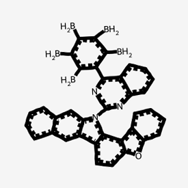 Bc1c(B)c(B)c(-c2nc(-n3c4cc5ccccc5cc4c4ccc5oc6ccccc6c5c43)nc3ccccc23)c(B)c1B